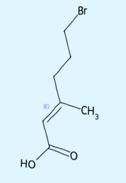 C/C(=C\C(=O)O)CCCBr